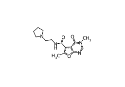 Cc1oc2ncn(C)c(=O)c2c1C(=O)NCCN1CCCC1